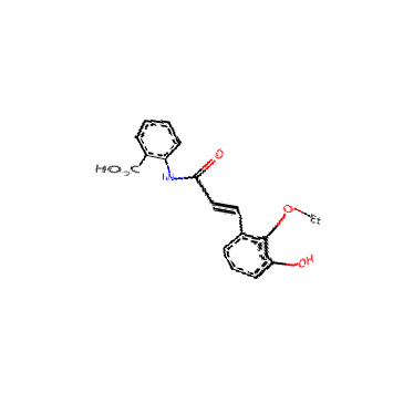 CCOc1c(O)cccc1C=CC(=O)Nc1ccccc1C(=O)O